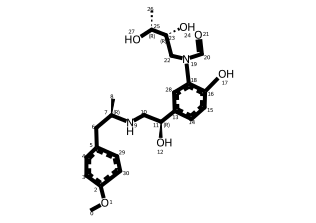 COc1ccc(C[C@@H](C)NC[C@H](O)c2ccc(O)c(N(C=O)C[C@@H](O)[C@@H](C)O)c2)cc1